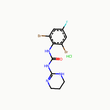 Cl.O=C(NC1=NCCCN1)Nc1c(Br)cc(F)cc1Br